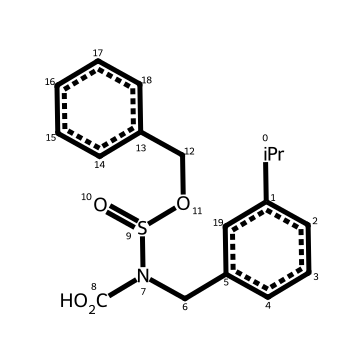 CC(C)c1cccc(CN(C(=O)O)S(=O)OCc2ccccc2)c1